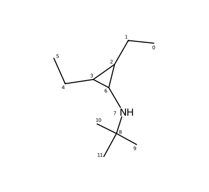 CCC1C(CC)C1NC(C)(C)C